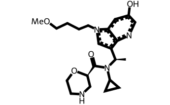 COCCCCn1cc([C@@H](C)N(C(=O)[C@H]2CNCCO2)C2CC2)c2ncc(O)cc21